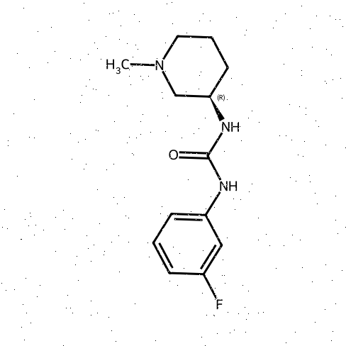 CN1CCC[C@@H](NC(=O)Nc2cccc(F)c2)C1